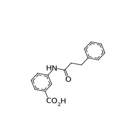 O=C(CCc1ccccc1)Nc1cccc(C(=O)O)c1